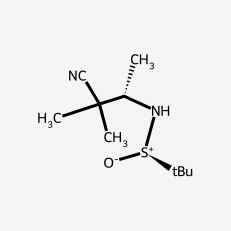 C[C@H](N[S@+]([O-])C(C)(C)C)C(C)(C)C#N